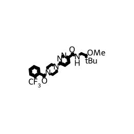 COC(CNC(=O)c1ccc(N2CCN(C(=O)c3ccccc3C(F)(F)F)CC2)nn1)C(C)(C)C